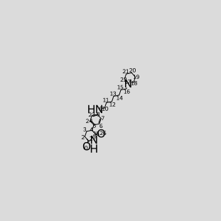 O=C1CCC(c2ccc(NCCCCCCCN3CCCCC3)cc2)C(=O)N1